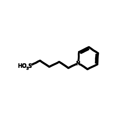 O=S(=O)(O)CCCCN1C=CC=CC1